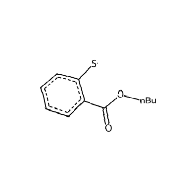 CCCCOC(=O)c1ccccc1[S]